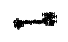 O=C(CCOCCOCCOCCOCCn1cc(C[C@H]2O[C@H](CCP(=O)(O)O)[C@@H](O)[C@H](O)[C@@H]2O)nn1)Oc1c(F)c(F)c(F)c(F)c1F